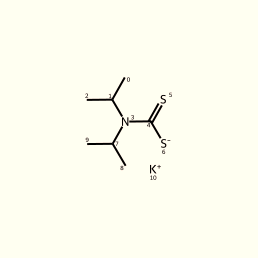 CC(C)N(C(=S)[S-])C(C)C.[K+]